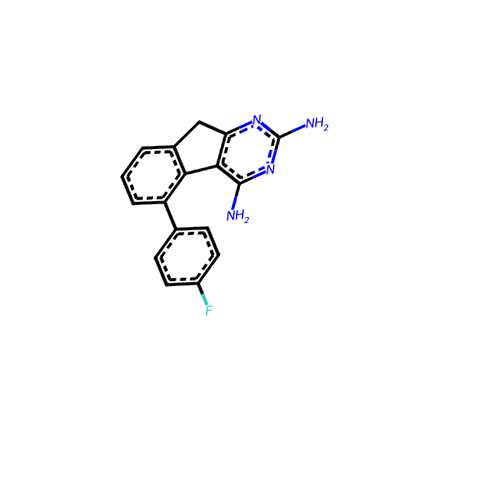 Nc1nc(N)c2c(n1)Cc1cccc(-c3ccc(F)cc3)c1-2